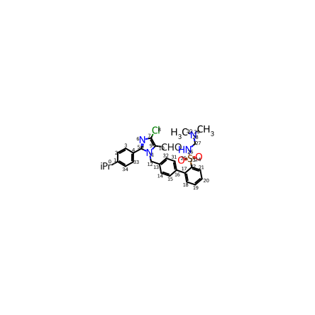 CC(C)c1ccc(-c2nc(Cl)c(C=O)n2Cc2ccc(-c3ccccc3S(=O)(=O)NCN(C)C)cc2)cc1